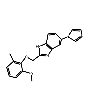 COc1cccc(C)c1OCc1nc2cc(-n3ccnc3)ccc2[nH]1